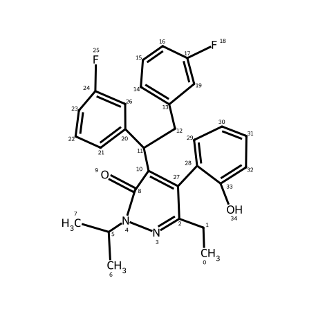 CCc1nn(C(C)C)c(=O)c(C(Cc2cccc(F)c2)c2cccc(F)c2)c1-c1ccccc1O